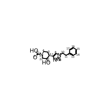 O=C(O)N1CC[C@@H](c2cn(CCc3ccccc3)nn2)[C@H](O)C1